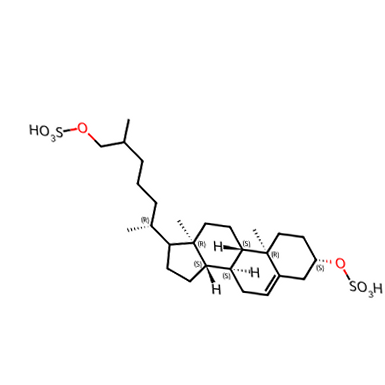 CC(CCC[C@@H](C)C1CC[C@H]2[C@@H]3CC=C4C[C@@H](OS(=O)(=O)O)CC[C@]4(C)[C@H]3CC[C@]12C)COS(=O)(=O)O